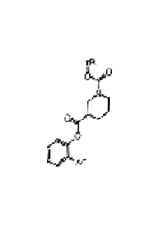 CC(=O)c1ccccc1OC(=O)C1CCCN(C(=O)OC(C)(C)C)C1